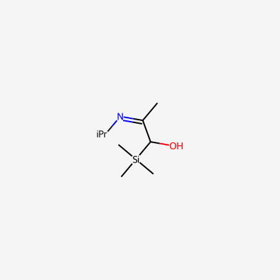 CC(=NC(C)C)C(O)[Si](C)(C)C